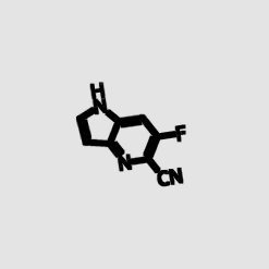 N#Cc1nc2cc[nH]c2cc1F